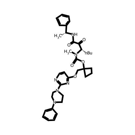 CCCC[C@@H](C(=O)C(=O)N[C@H](C)c1ccccc1)N(C)C(=O)OC1(COc2ccnc(N3CCN(c4ccccc4)CC3)n2)CCC1